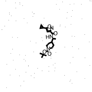 CC(NC(=O)c1cc(C2CC2)on1)C1CCN(C(=O)OC(C)(C)C)CC1